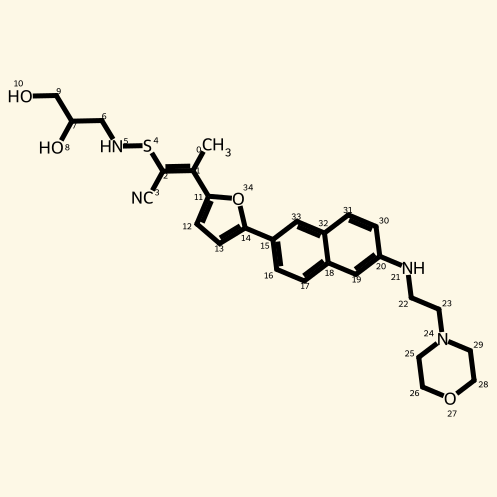 C/C(=C(/C#N)SNCC(O)CO)c1ccc(-c2ccc3cc(NCCN4CCOCC4)ccc3c2)o1